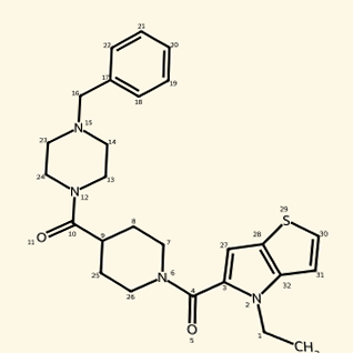 CCn1c(C(=O)N2CCC(C(=O)N3CCN(Cc4ccccc4)CC3)CC2)cc2sccc21